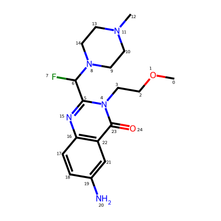 COCCn1c(C(F)N2CCN(C)CC2)nc2ccc(N)cc2c1=O